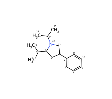 CC(C)C1CC(c2ccccc2)CN1C(C)C